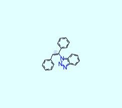 C(=C(\c1ccccc1)n1nnc2ccccc21)/c1ccccc1